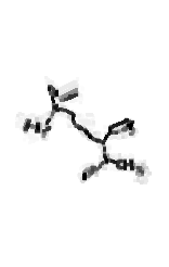 CC(C)N(C)C(C)CCN(C)C